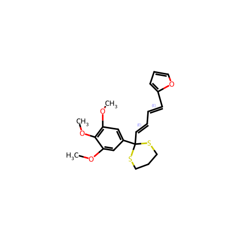 COc1cc(C2(/C=C/C=C/c3ccco3)SCCCS2)cc(OC)c1OC